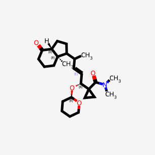 CC(/C=C/[C@@H](O[C@@H]1CCCCO1)C1(C(=O)N(C)C)CC1)C1CC[C@H]2C(=O)CCC[C@]12C